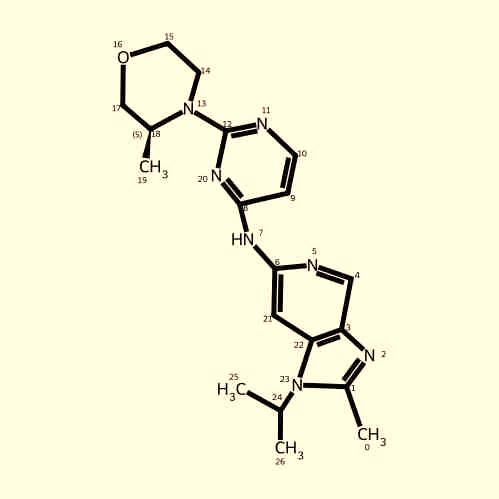 Cc1nc2cnc(Nc3ccnc(N4CCOC[C@@H]4C)n3)cc2n1C(C)C